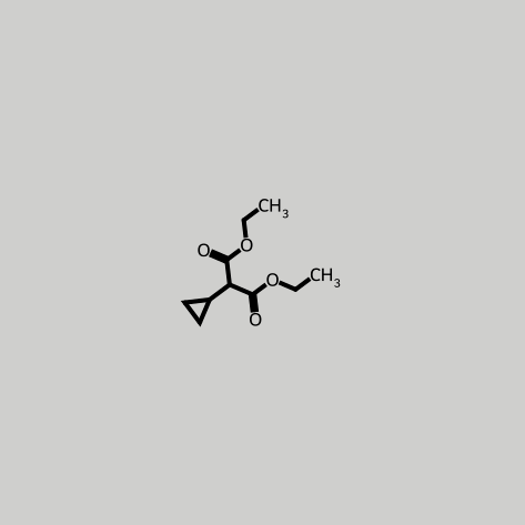 CCOC(=O)C(C(=O)OCC)C1CC1